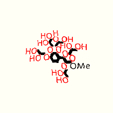 COC(=O)C(OCC(O)CO)=C(OCC(O)CO)c1ccc(OCC(O)CO)c(OCC(O)CO)c1OCC(O)CO